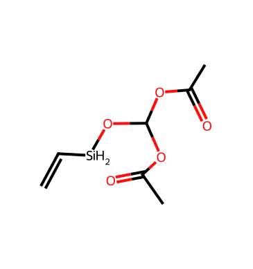 C=C[SiH2]OC(OC(C)=O)OC(C)=O